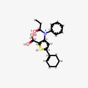 CCC(=O)N(c1ccccc1)c1cc(C2=CCCCC2)sc1C(=O)O